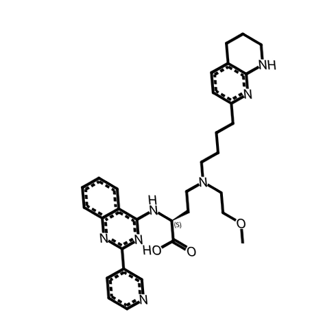 COCCN(CCCCc1ccc2c(n1)NCCC2)CC[C@H](Nc1nc(-c2cccnc2)nc2ccccc12)C(=O)O